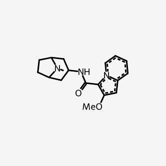 COc1cc2ccccn2c1C(=O)NC1CC2CCC(C1)N2C